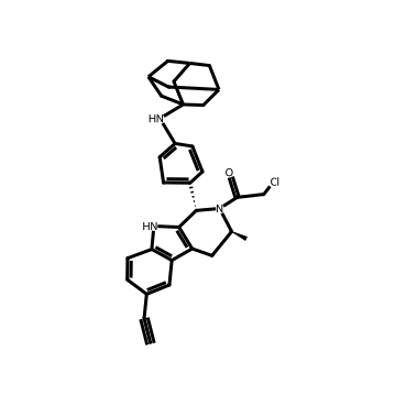 C#Cc1ccc2[nH]c3c(c2c1)C[C@H](C)N(C(=O)CCl)[C@H]3c1ccc(NC23CC4CC(CC(C4)C2)C3)cc1